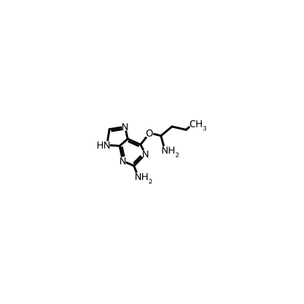 CCCC(N)Oc1nc(N)nc2[nH]cnc12